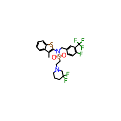 Cc1c(N(Cc2ccc(F)c(C(F)(F)F)c2)S(=O)(=O)CCN2CCCC(F)(F)C2)sc2ccccc12